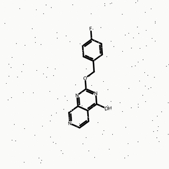 Oc1nc(OCc2ccc(F)cc2)nc2cnccc12